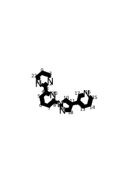 c1cnc(-c2cccc(-n3cc(-c4cccnc4)cn3)n2)nc1